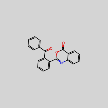 O=C(c1ccccc1)c1ccccc1-c1nc2ccccc2c(=O)o1